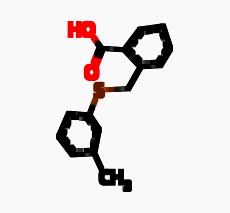 Cc1cccc(SCc2ccccc2C(=O)O)c1